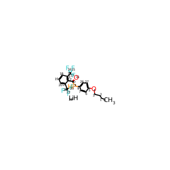 CCCCOc1ccc(PC(=O)c2c(C(F)(F)F)cccc2C(F)(F)F)cc1.[LiH]